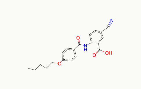 CCCCCOc1ccc(C(=O)Nc2ccc(C#N)cc2C(=O)O)cc1